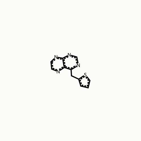 c1csc(Cc2ncnc3nccnc23)c1